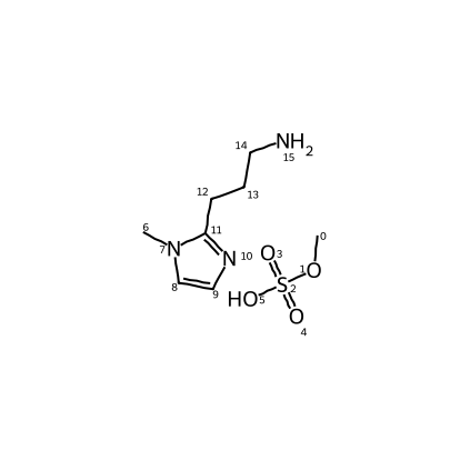 COS(=O)(=O)O.Cn1ccnc1CCCN